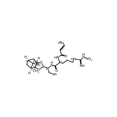 CCCC/C=C/C(=O)N[C@@H](CCCNC(=N)N[N+](=O)[O-])C(=O)N[C@@H](CC(C)C)B1O[C@@H]2C[C@@H]3C[C@@H](C3(C)C)[C@]2(C)O1